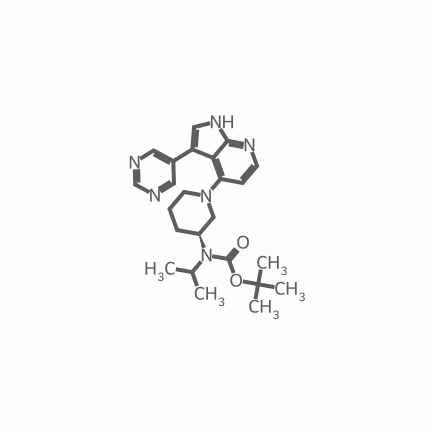 CC(C)N(C(=O)OC(C)(C)C)[C@H]1CCCN(c2ccnc3[nH]cc(-c4cncnc4)c23)C1